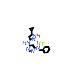 Fc1ccccc1CNc1cc(Nc2cc(C3CC3)[nH]n2)ncn1